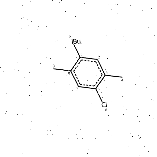 CCC(C)c1cc(C)c(Cl)cc1C